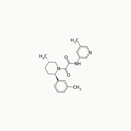 Cc1cncc(NC(=O)C(=O)N2C[C@@H](C)CC[C@@H]2c2cccc(C)c2)c1